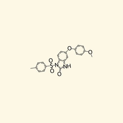 COc1ccc(Oc2ccc3c(c2)[nH]c(=O)n3S(=O)(=O)c2ccc(C)cc2)cc1